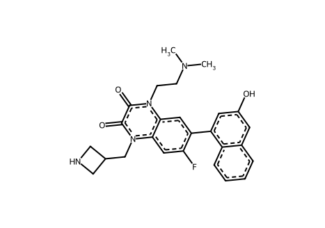 CN(C)CCn1c(=O)c(=O)n(CC2CNC2)c2cc(F)c(-c3cc(O)cc4ccccc34)cc21